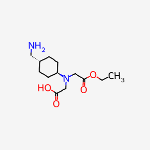 CCOC(=O)CN(CC(=O)O)[C@H]1CC[C@H](CN)CC1